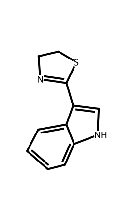 c1ccc2c(C3=NCCS3)c[nH]c2c1